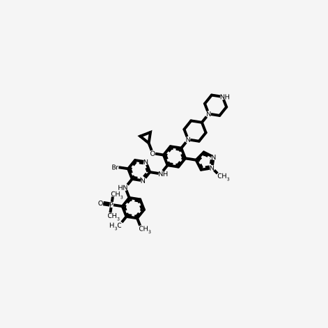 Cc1ccc(Nc2nc(Nc3cc(-c4cnn(C)c4)c(N4CCC(N5CCNCC5)CC4)cc3OC3CC3)ncc2Br)c(P(C)(C)=O)c1C